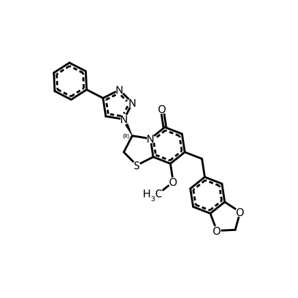 COc1c(Cc2ccc3c(c2)OCO3)cc(=O)n2c1SC[C@H]2n1cc(-c2ccccc2)nn1